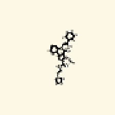 CCOc1c(C(=O)NCCN2CCCC2)sc2c1c(=O)n(CC(=O)c1ccccc1)c1ccccc21